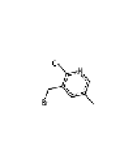 Clc1ncc(I)cc1CBr